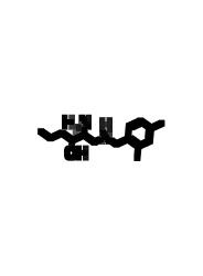 CCC[C@H](O)[C@@H](N)CNCc1ccc(C)cc1C